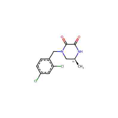 C[C@H]1CN(Cc2ccc(Cl)cc2Cl)C(=O)C(=O)N1